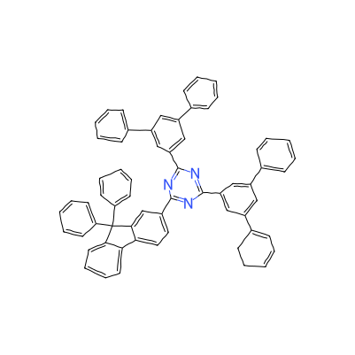 C1=CCCC(c2cc(-c3ccccc3)cc(-c3nc(-c4cc(-c5ccccc5)cc(-c5ccccc5)c4)nc(-c4ccc5c(c4)C(c4ccccc4)(c4ccccc4)c4ccccc4-5)n3)c2)=C1